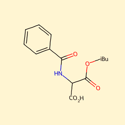 CCC(C)OC(=O)C(NC(=O)c1ccccc1)C(=O)O